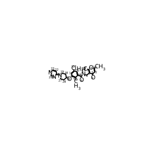 Cc1cc(=O)c(CNC(=O)c2cc(Cl)cc(OC3CCN(c4ccncn4)CC3)c2C)c(C)o1